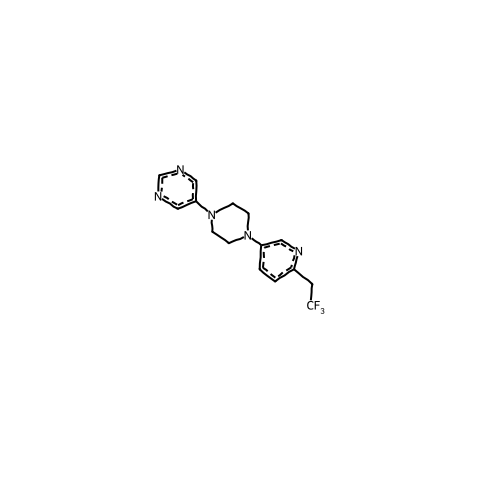 FC(F)(F)Cc1ccc(N2CCN(c3cncnc3)CC2)cn1